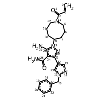 C=CC(=O)N1CCCC(n2nc(-c3cnn(Cc4ccccc4)c3)c(C(N)=O)c2N)CCC1